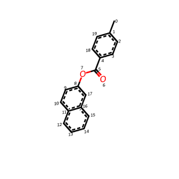 Cc1ccc(C(=O)Oc2ccc3ccccc3c2)cc1